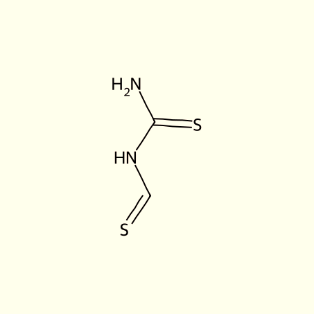 NC(=S)NC=S